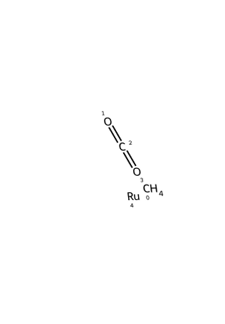 C.O=C=O.[Ru]